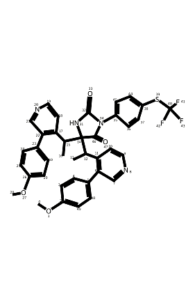 COc1ccc(-c2cnccc2C(C)C2(C(C)c3ccncc3-c3ccc(OC)cc3)NC(=O)N(c3ccc(SC(F)(F)F)cc3)C2=O)cc1